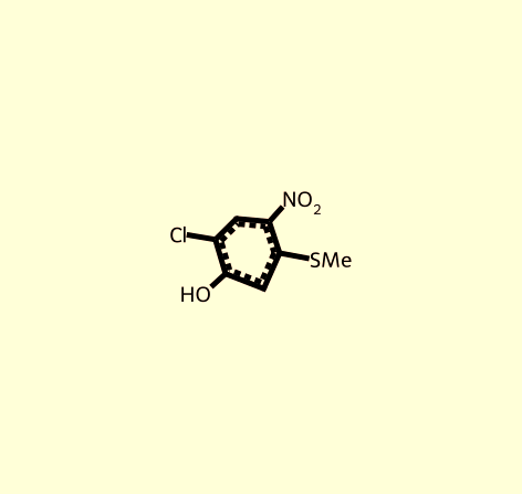 CSc1cc(O)c(Cl)cc1[N+](=O)[O-]